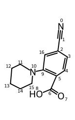 N#Cc1ccc(C(=O)O)c(N2CCCCC2)c1